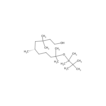 C[C@@H](CCCC(C)(C)O[Si](C)(C)C(C)(C)C)CC(C)(C)CCO